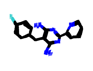 Nc1nc(-c2ccccn2)nc(N)c1Cc1ccc(F)cc1